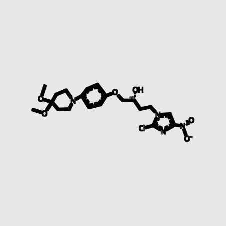 COC1(OC)CCN(c2ccc(OC[C@H](O)CCn3cc([N+](=O)[O-])nc3Cl)cc2)CC1